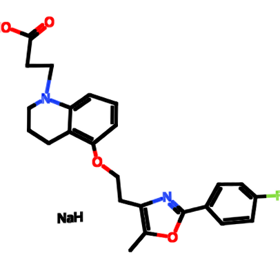 Cc1oc(-c2ccc(F)cc2)nc1CCOc1cccc2c1CCCN2CCC(=O)O.[NaH]